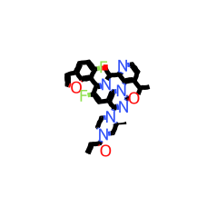 C=CC(=O)N1CCN(c2nc(=O)n(-c3c(C(C)C)ccnc3C(C)C)c3nc(-c4c(F)ccc5ccoc45)c(F)cc23)[C@@H](C)C1